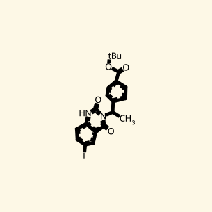 CC(c1ccc(C(=O)OC(C)(C)C)cc1)n1c(=O)[nH]c2ccc(I)cc2c1=O